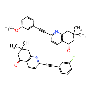 CC1(C)CC(=O)c2ccc(C#Cc3cccc(F)c3)nc2C1.COc1cccc(C#Cc2ccc3c(n2)CC(C)(C)CC3=O)c1